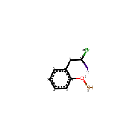 SOc1cc[c]cc1CC(Br)I